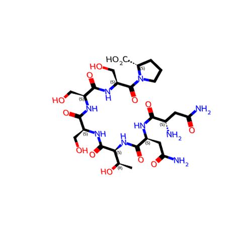 C[C@@H](O)[C@H](NC(=O)[C@H](CC(N)=O)NC(=O)[C@@H](N)CC(N)=O)C(=O)N[C@@H](CO)C(=O)N[C@@H](CO)C(=O)N[C@@H](CO)C(=O)N1CCC[C@H]1C(=O)O